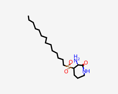 CCCCCCCCCCCCCCS(=O)(=O)C1CCCNC(=O)[C@@H]1N